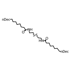 CCCCCCCCCCCCCCCCCC(=O)NCCSSCCNC(=O)CCCCCCCCCCCCCCCCC